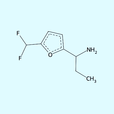 CCC(N)c1ccc(C(F)F)o1